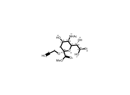 C#CCO[C@]1(C(=O)OC)C[C@@H](O)[C@@H](NC(C)=O)C([C@H](O)[C@H](O)CC)O1